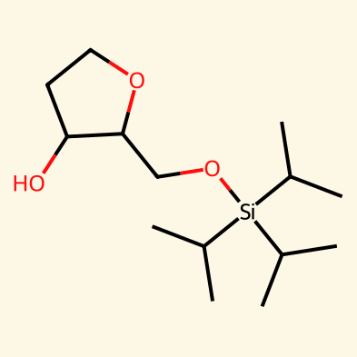 CC(C)[Si](OCC1OCCC1O)(C(C)C)C(C)C